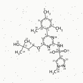 Cc1cc(C)c(-c2cc(OCCC(C)(C)O)nc(NS(=O)(=O)c3cnn(C)c3)n2)c(C)c1